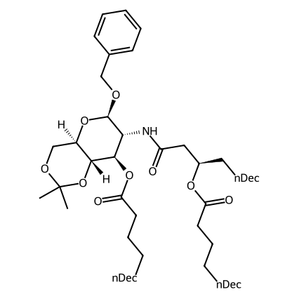 CCCCCCCCCCCCCC(=O)O[C@H](CCCCCCCCCCC)CC(=O)N[C@H]1[C@H](OCc2ccccc2)O[C@@H]2COC(C)(C)O[C@H]2[C@@H]1OC(=O)CCCCCCCCCCCCC